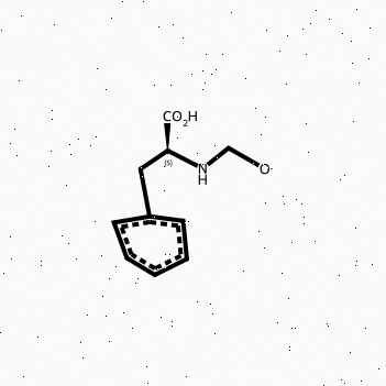 [O]CN[C@@H](Cc1ccccc1)C(=O)O